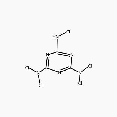 ClNc1nc(N(Cl)Cl)nc(N(Cl)Cl)n1